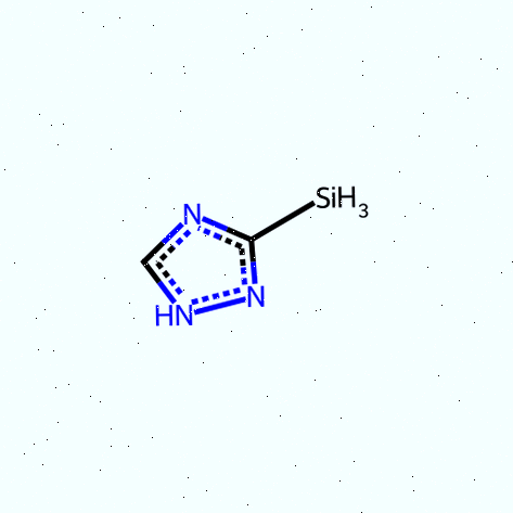 [SiH3]c1nc[nH]n1